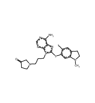 CN1CCc2cc(I)c(Sc3nc4c(N)ncnc4n3CCCN3CCC(=O)C3)cc21